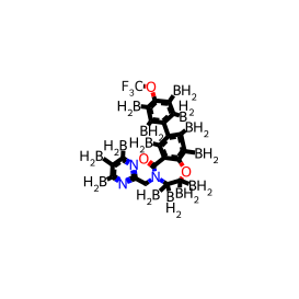 Bc1nc(CN2C(=O)c3c(B)c(-c4c(B)c(B)c(OC(F)(F)F)c(B)c4B)c(B)c(B)c3OC(B)(B)C2(B)B)nc(B)c1B